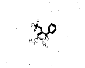 CN(C)/C=C(/CC(F)(F)F)C(=O)c1ccccc1